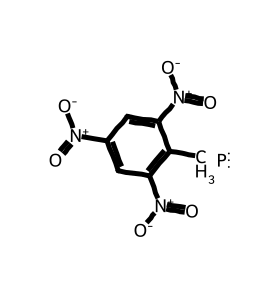 Cc1c([N+](=O)[O-])cc([N+](=O)[O-])cc1[N+](=O)[O-].[P]